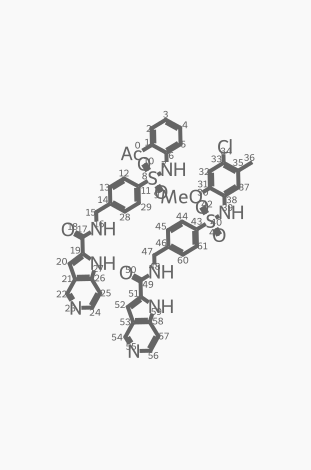 CC(=O)c1ccccc1NS(=O)(=O)c1ccc(CNC(=O)c2cc3cnccc3[nH]2)cc1.COc1cc(Cl)c(C)cc1NS(=O)(=O)c1ccc(CNC(=O)c2cc3cnccc3[nH]2)cc1